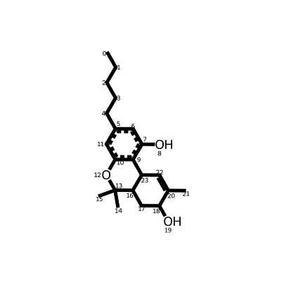 CCCCCc1cc(O)c2c(c1)OC(C)(C)C1CC(O)C(C)=CC21